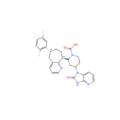 O=C(O)N1CCC(n2c(=O)[nH]c3ncccc32)CC1[C@@H]1CC[C@@H](c2cc(F)ccc2F)Cc2cccnc21